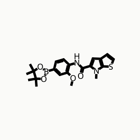 COc1cc(B2OC(C)(C)C(C)(C)O2)ccc1NC(=O)c1cc2ccsc2n1C